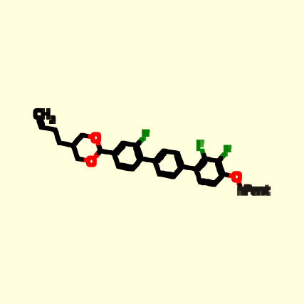 C=CCCC1COC(c2ccc(-c3ccc(-c4ccc(OCCCCC)c(F)c4F)cc3)c(F)c2)OC1